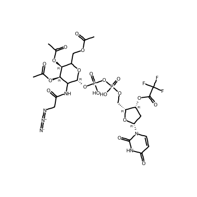 CC(=O)OCC1O[C@H](OP(=O)(O)OP(=O)(O)OC[C@H]2O[C@@H](n3ccc(=O)[nH]c3=O)C[C@H]2OC(=O)C(F)(F)F)C(NC(=O)CN=[N+]=[N-])[C@@H](OC(C)=O)[C@H]1OC(C)=O